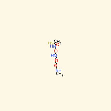 CCNCCOCCOCCNCCOCCNC(=O)C(C)S